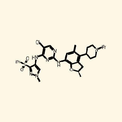 Cc1cc(Nc2ncc(Cl)c(Nc3cn(C)nc3S(=O)(=O)C(C)C)n2)c2c(c1C1CCN(C(C)C)CC1)C[C@@H](C)O2